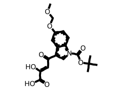 COCOc1ccc2c(c1)c(C(=O)C=C(O)C(=O)O)cn2C(=O)OC(C)(C)C